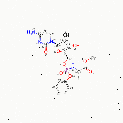 CC(C)OC(=O)[C@H](C)N[P@@](=O)(OC[C@H]1O[C@@H](n2ccc(N)nc2=O)[C@H](C#N)[C@@H]1O)Oc1ccccc1